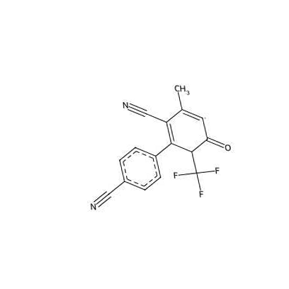 CC1=[C]C(=O)C(C(F)(F)F)C(c2ccc(C#N)cc2)=C1C#N